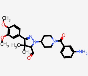 COc1ccc(C2=NN(C3CCN(C(=O)c4cccc(N)c4)CC3)C(C=O)C2(C)C)cc1OC